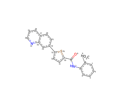 O=C(Nc1ccccc1C(=O)O)c1ccc(-c2ccc3cccnc3c2)s1